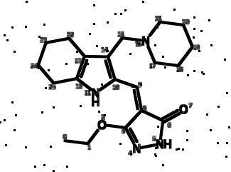 CCOC1=NNC(=O)C1=Cc1[nH]c2c(c1CN1CCCCC1)CCCC2